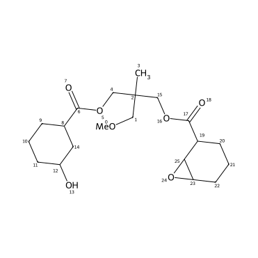 COCC(C)(COC(=O)C1CCCC(O)C1)COC(=O)C1CCCC2OC21